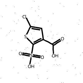 O=C(O)c1cc(Cl)sc1S(=O)(=O)O